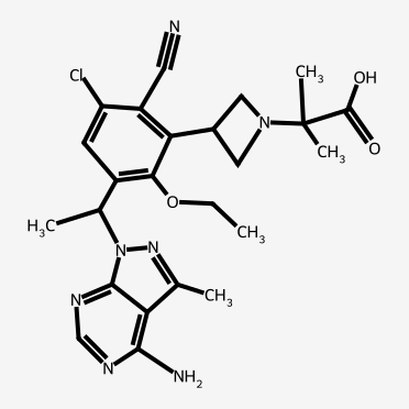 CCOc1c(C(C)n2nc(C)c3c(N)ncnc32)cc(Cl)c(C#N)c1C1CN(C(C)(C)C(=O)O)C1